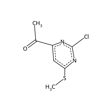 CSc1cc(C(C)=O)nc(Cl)n1